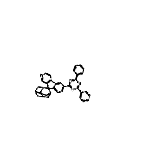 c1ccc(-c2nc(-c3ccccc3)nc(-c3ccc4c(c3)-c3ccncc3C43C4CC5CC(C4)CC3C5)n2)cc1